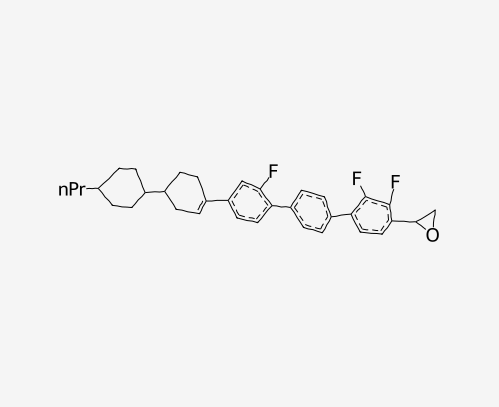 CCCC1CCC(C2CC=C(c3ccc(-c4ccc(-c5ccc(C6CO6)c(F)c5F)cc4)c(F)c3)CC2)CC1